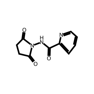 O=C(NN1C(=O)CCC1=O)c1ccccn1